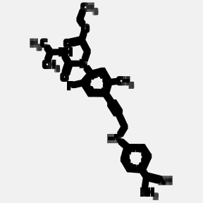 CCOC(=O)CN(C(=O)NC(C)C)c1cc(C)c(C#CCNc2ccc(C(=N)N)cc2)cc1F